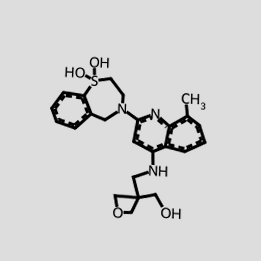 Cc1cccc2c(NCC3(CO)COC3)cc(N3CCS(O)(O)c4ccccc4C3)nc12